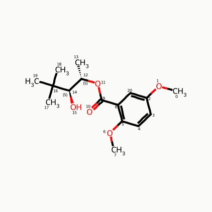 COc1ccc(OC)c(C(=O)O[C@@H](C)[C@@H](O)C(C)(C)C)c1